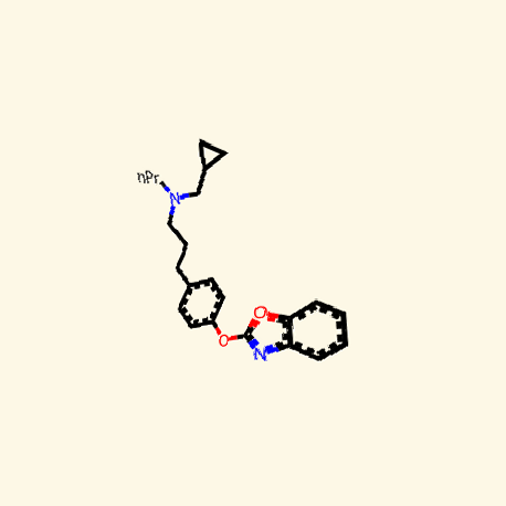 CCCN(CCCc1ccc(Oc2nc3ccccc3o2)cc1)CC1CC1